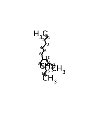 CCCCCCCC(CC)CC(CC)CCCC